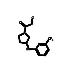 O=C(CCl)N1CCC(Nc2cccc(C(F)(F)F)c2)C1